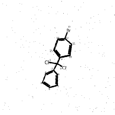 ClC(Cl)(c1ccccc1)c1ccc(Br)cc1